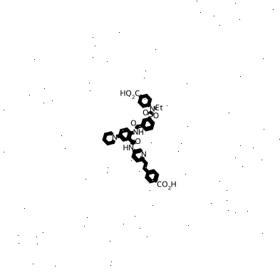 CCN(C1CCC(C(=O)O)CC1)S(=O)(=O)c1cccc(C(=O)Nc2ccc(N3CCCCC3)cc2C(=O)Nc2ccc(CCc3ccc(C(=O)O)cc3)nc2)c1